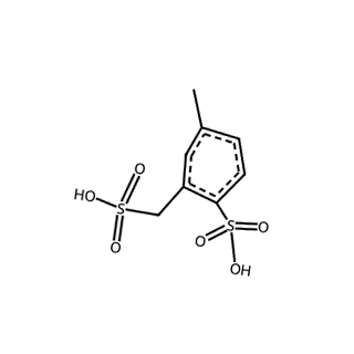 Cc1ccc(S(=O)(=O)O)c(CS(=O)(=O)O)c1